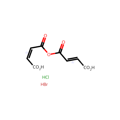 Br.Cl.O=C(O)/C=C\C(=O)OC(=O)/C=C/C(=O)O